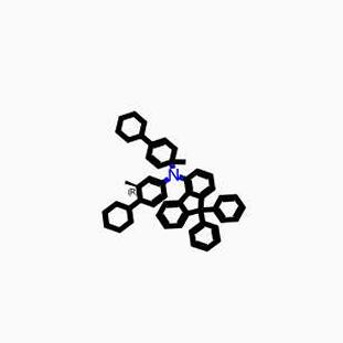 C[C@H]1C=C(N(c2cccc3c2-c2ccccc2C3(c2ccccc2)c2ccccc2)C2(C)C=CC(C3CCCCC3)=CC2)C=CC1C1CCCCC1